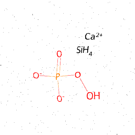 O=P([O-])([O-])OO.[Ca+2].[SiH4]